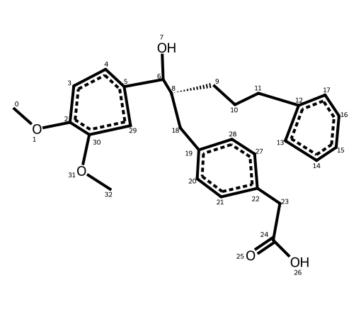 COc1ccc(C(O)[C@H](CCCc2ccccc2)Cc2ccc(CC(=O)O)cc2)cc1OC